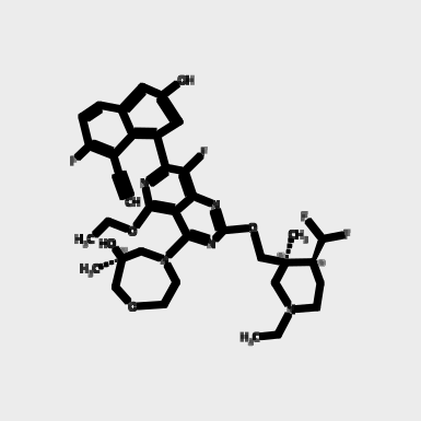 C#Cc1c(F)ccc2cc(O)cc(-c3nc(OCC)c4c(N5CCOC[C@@](C)(O)C5)nc(OC[C@]5(C)CN(CC)CC[C@@H]5C(F)F)nc4c3F)c12